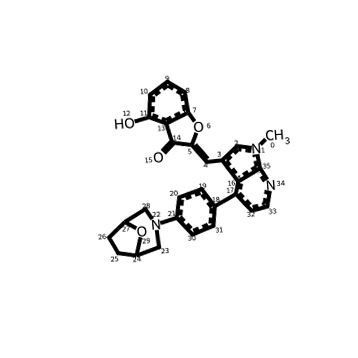 Cn1cc(C=C2Oc3cccc(O)c3C2=O)c2c(-c3ccc(N4CC5CCC(C4)O5)cc3)ccnc21